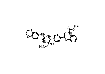 CCC(CC)(CN)C(NC(=O)Nc1ccc2c(c1)OCCO2)c1ccc(C(=O)Nc2ccccc2NC(=O)OC(C)(C)C)nc1